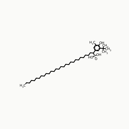 CCCCCCCCCCCCCCCCCCCCCCCCCCCCC(c1cc(C)c(O)c(C(C)(C)C)c1)P(=O)(O)O